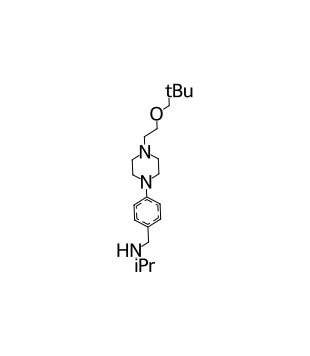 CC(C)NCc1ccc(N2CCN(CCOCC(C)(C)C)CC2)cc1